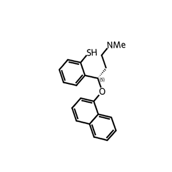 CNCC[C@H](Oc1cccc2ccccc12)c1ccccc1S